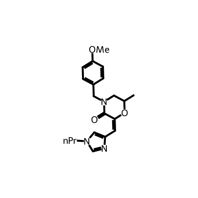 CCCn1cnc(C=C2OC(C)CN(Cc3ccc(OC)cc3)C2=O)c1